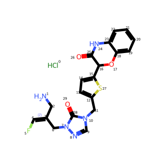 Cl.NC/C(=C/F)Cn1ncn(Cc2ccc(C3Oc4ccccc4NC3=O)s2)c1=O